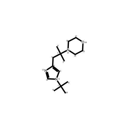 CC(C)(Cc1cn(C(C)(C)C)cn1)N1CCOCC1